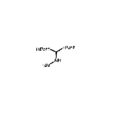 CCCCCC(CCCCC)NCCCC.Cl